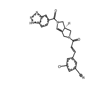 N#Cc1cc(Cl)cc(/C=C/C(=O)N2CC3=CN(C(=O)c4ccc5[nH]nnc5c4)C[C@H]3C2)c1